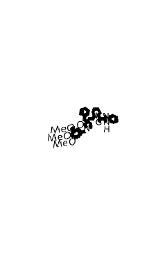 COc1cc(CN2CCC(CCN3CCCCC3C(=O)c3nc4ccccc4[nH]3)(Cc3ccccc3)C2=O)cc(OC)c1OC